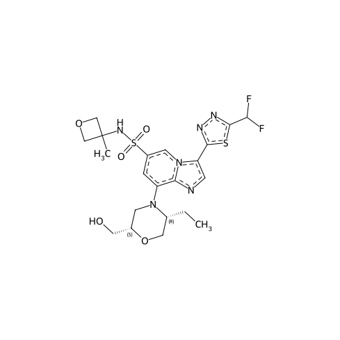 CC[C@@H]1CO[C@H](CO)CN1c1cc(S(=O)(=O)NC2(C)COC2)cn2c(-c3nnc(C(F)F)s3)cnc12